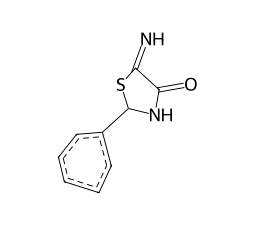 N=C1SC(c2ccccc2)NC1=O